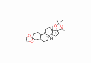 CC(=O)[C@@]1(O[Si](C)(C)C)CC[C@H]2[C@@H]3CCC4=C(CCC5(C4)OCCO5)C3=CC[C@@]21C